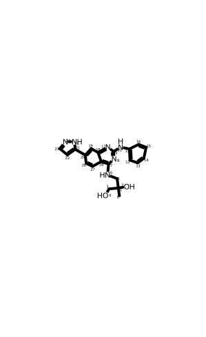 CC(O)(CO)CNc1nc(Nc2ccccc2)nc2cc(-c3ccn[nH]3)ccc12